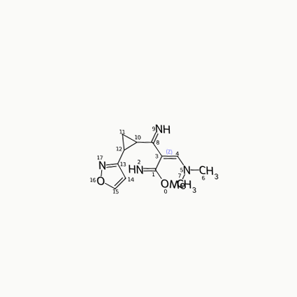 COC(=N)/C(=C\N(C)C)C(=N)C1CC1c1ccon1